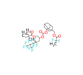 CCC(C)(C)C(=O)OCC(CC(F)(F)C(F)(F)C(F)(C(F)(F)F)C(F)(F)F)OC(=O)OC12CC3CC(CC(COC(=O)C(C)(F)F)(C3)C1)C2